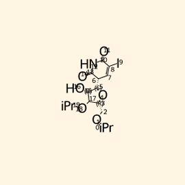 CC(C)OC[C@H]1O[C@@H](C2C=C(I)C(=O)NC2=O)[C@@H](O)C1OC(C)C